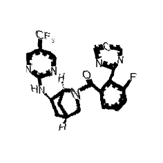 O=C(c1cccc(F)c1-c1ncccn1)N1C[C@@H]2C[C@@H](Nc3ncc(C(F)(F)F)cn3)[C@@H]1C2